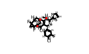 COC(=O)C1=C(CN2[C@H]3C[C@H](CC(=O)O)C[C@@H]2C2(F)CC32F)NC(c2nccs2)=N[C@H]1c1ccc(Cl)c(F)c1